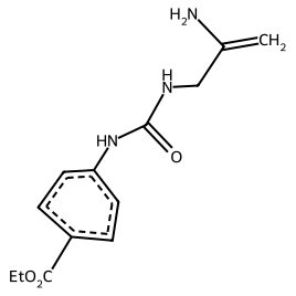 C=C(N)CNC(=O)Nc1ccc(C(=O)OCC)cc1